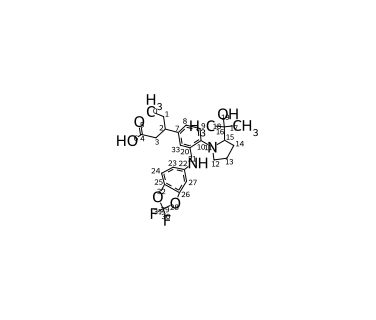 CCC(CC(=O)O)c1ccc(N2CCCC2C(C)(C)O)c(Nc2ccc3c(c2)OC(F)(F)O3)c1